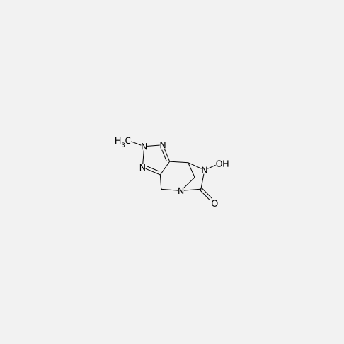 Cn1nc2c(n1)C1CN(C2)C(=O)N1O